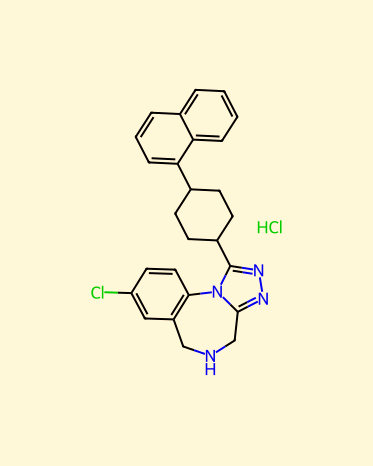 Cl.Clc1ccc2c(c1)CNCc1nnc(C3CCC(c4cccc5ccccc45)CC3)n1-2